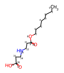 CCCCCCCCOC(=O)CCNCCC(=O)O